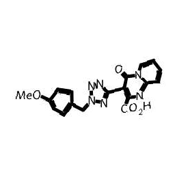 COc1ccc(Cn2nnc(-c3c(C(=O)O)nc4ccccn4c3=O)n2)cc1